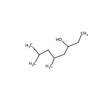 CCC(O)CC(C)CC(C)C